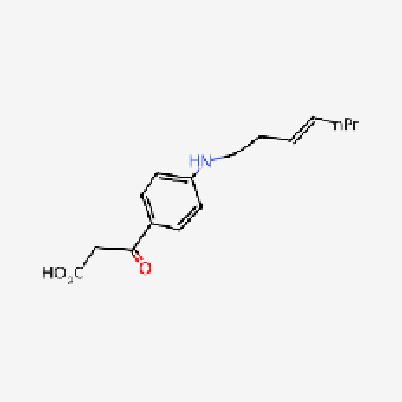 CCCC=CCCNc1ccc(C(=O)CC(=O)O)cc1